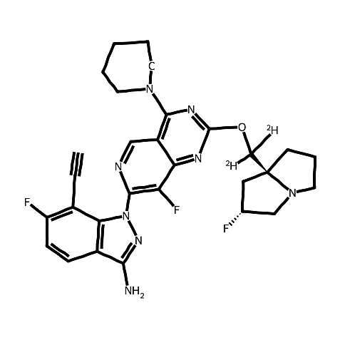 [2H]C([2H])(Oc1nc(N2CCCCC2)c2cnc(-n3nc(N)c4ccc(F)c(C#C)c43)c(F)c2n1)[C@@]12CCCN1C[C@H](F)C2